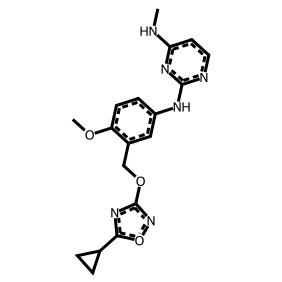 CNc1ccnc(Nc2ccc(OC)c(COc3noc(C4CC4)n3)c2)n1